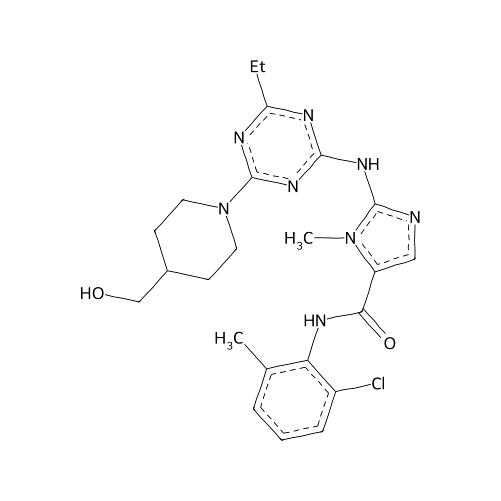 CCc1nc(Nc2ncc(C(=O)Nc3c(C)cccc3Cl)n2C)nc(N2CCC(CO)CC2)n1